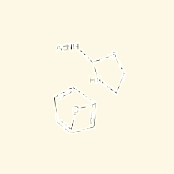 CC(=O)NC1NCCS1.c1cc2cc(c1)O2